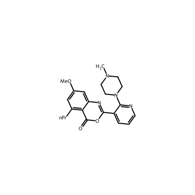 CCCc1cc(OC)cc2nc(-c3cccnc3N3CCN(C)CC3)oc(=O)c12